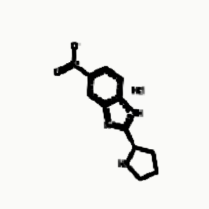 Cl.O=[N+]([O-])c1ccc2[nH]c([C@H]3CCCN3)nc2c1